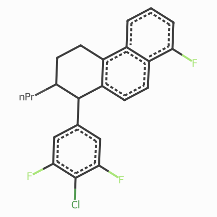 CCCC1CCc2c(ccc3c(F)cccc23)C1c1cc(F)c(Cl)c(F)c1